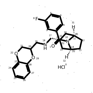 Cl.O=C(c1cccc(F)c1)N1[C@@H]2CC[C@H]1C[C@H](CNCC1COc3ccccc3O1)C2